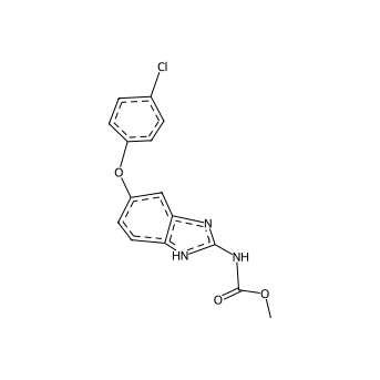 COC(=O)Nc1nc2cc(Oc3ccc(Cl)cc3)ccc2[nH]1